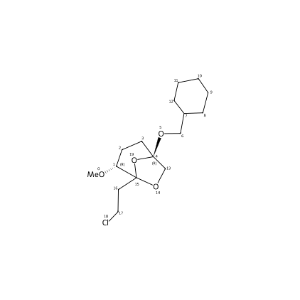 CO[C@@H]1CC[C@]2(OCC3CCCCC3)COC1(CCCl)O2